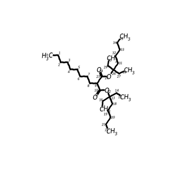 CCCCCCCCCC(C(=O)OC(CC)(CC)CCCCC)C(=O)OC(CC)(CC)CCCCC